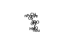 CCCCNC(=O)CCN1C(=O)CC(SCC(=O)C(C)(CCC)CCC)C1=O